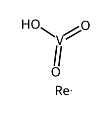 [O]=[V](=[O])[OH].[Re]